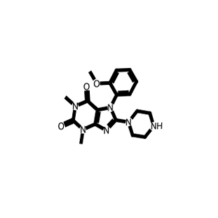 COc1ccccc1-n1c(N2CCNCC2)nc2c1c(=O)n(C)c(=O)n2C